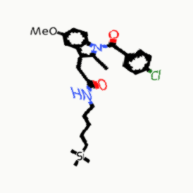 COc1ccc2c(c1)c(CC(=O)NCCCCC[Si](C)(C)C)c(C)n2C(=O)c1ccc(Cl)cc1